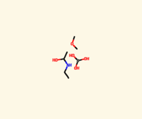 CCNC(C)O.COC.OB(O)O